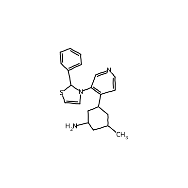 CC1CC(N)CC(c2ccncc2N2C=CSC2c2ccccc2)C1